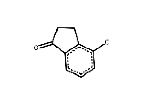 [O]c1cccc2c1CCC2=O